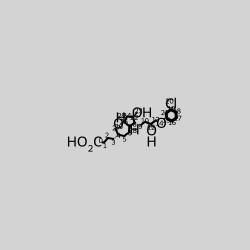 O=C(O)CCC[C@H]1CC[C@@H]2[C@@H](CCC(O)COc3cccc(Cl)c3)[C@H](O)C[C@@H]2OC1